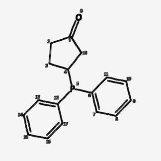 O=C1CCC(P(c2ccccc2)c2ccccc2)C1